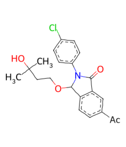 CC(=O)c1ccc2c(c1)C(=O)N(c1ccc(Cl)cc1)C2OCCC(C)(C)O